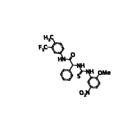 COc1ccc([N+](=O)[O-])cc1NC(=S)NC(C(=O)Nc1ccc(C)c(C(F)(F)F)c1)c1ccccc1